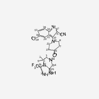 CC1(C)CN(OC2CCN(c3c(C#N)cnc4ccc(Cl)cc34)CC2)CC(=N)N1C(=N)C(F)(F)F